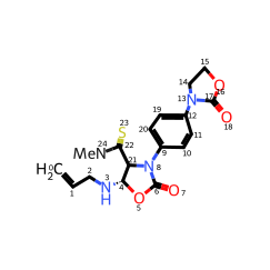 C=CCN[C@H]1OC(=O)N(c2ccc(N3CCOC3=O)cc2)C1C(=S)NC